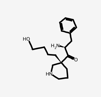 N[C@@H](Cc1ccccc1)C(=O)[C@]1(CCC[CH]O)CCCNC1